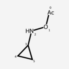 CC(=O)ONC1CC1